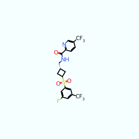 O=C(NC[C@H]1C[C@H](S(=O)(=O)c2cc(F)cc(C(F)(F)F)c2)C1)c1ccc(C(F)(F)F)cn1